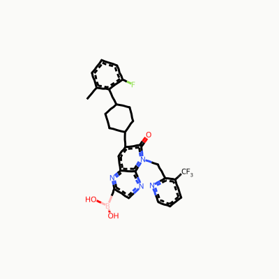 Cc1cccc(F)c1C1CCC(c2cc3nc(B(O)O)cnc3n(Cc3ncccc3C(F)(F)F)c2=O)CC1